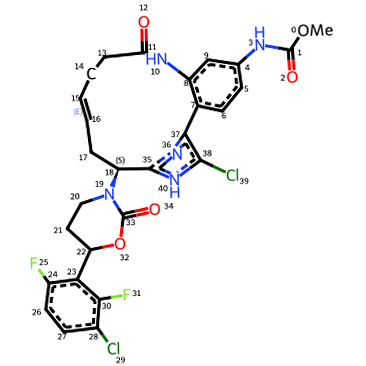 COC(=O)Nc1ccc2c(c1)NC(=O)CC/C=C/C[C@H](N1CCC(c3c(F)ccc(Cl)c3F)OC1=O)c1nc-2c(Cl)[nH]1